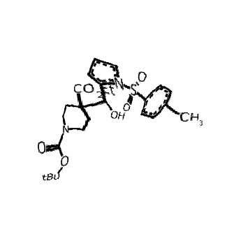 CCOC(=O)C1(C(O)c2cccn2S(=O)(=O)c2ccc(C)cc2)CCN(C(=O)OC(C)(C)C)CC1